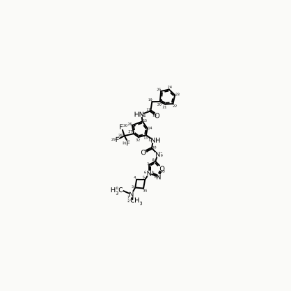 CN(C)C1CC([n+]2cc([N-]C(=O)Nc3cc(NC(=O)Cc4ccccc4)cc(C(F)(F)F)c3)on2)C1